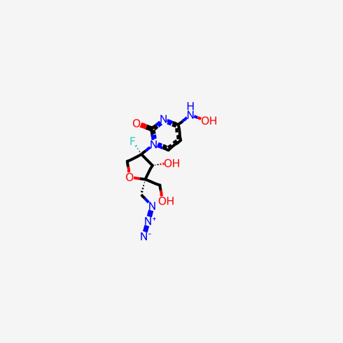 [N-]=[N+]=NC[C@]1(CO)OC[C@@](F)(n2ccc(NO)nc2=O)[C@@H]1O